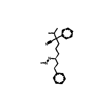 CN=N[C@@H](CCCC(C#N)(c1ccccc1)C(C)C)CCc1ccccc1